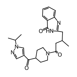 CC(CC(=O)N1CCC(C(=O)c2cnn(C(C)C)c2)CC1)Cc1nc2ccccc2c(=O)[nH]1